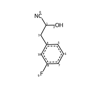 N#CC(O)Cc1cccc(F)c1